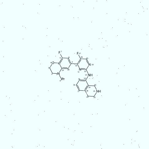 CC(C)N1CCOc2c(F)cc(-c3nc(Nc4cccc5c4CNCC5)ncc3F)cc21